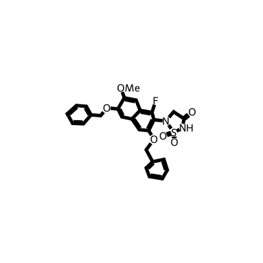 COc1cc2c(F)c(N3CC(=O)NS3(=O)=O)c(OCc3ccccc3)cc2cc1OCc1ccccc1